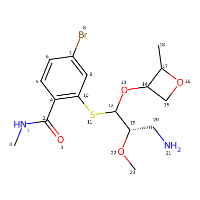 CNC(=O)c1ccc(Br)cc1SC(OC1COC1C)[C@H](CN)OC